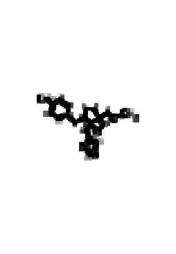 COCC12CCC(Cc3ccc(Cl)cc3)C1(Cn1cncn1)OC2